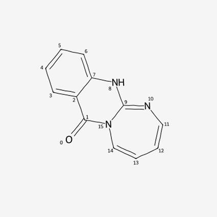 O=C1c2ccccc2NC2=NC=CC=CN12